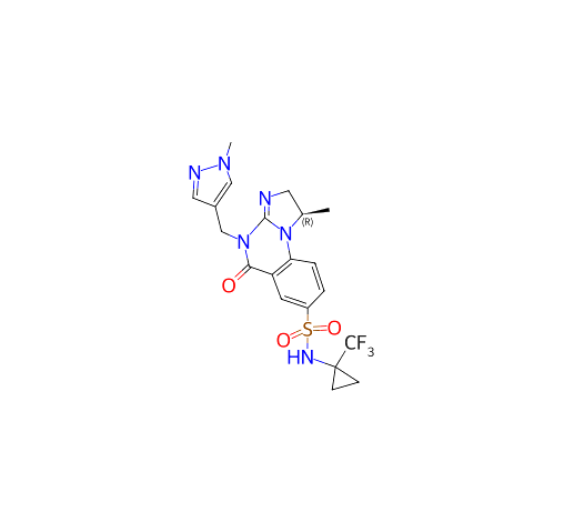 C[C@@H]1CN=C2N(Cc3cnn(C)c3)C(=O)c3cc(S(=O)(=O)NC4(C(F)(F)F)CC4)ccc3N21